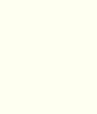 C=C(C)C(=O)Oc1ccc(O)cc1-c1cccc2ccccc12